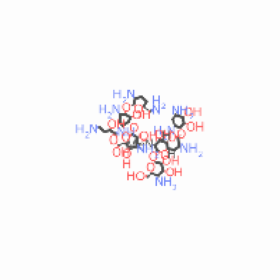 CN[C@@H]1[C@@H](O[C@H]2O[C@H](CO)[C@@H](N)[C@H](O)[C@H]2O)O[C@H]2C[C@@H](N)[C@@H](O[C@H]3[C@H](O)[C@@H](O)[C@H](N)C[C@@H]3N)O[C@@H]2[C@@H]1O.NCC[C@H](O)C(=O)N[C@@H]1C[C@H](N)[C@@H](O[C@H]2O[C@H](CN)CC[C@H]2N)[C@H](O)[C@H]1O[C@H]1O[C@H](CO)[C@@H](O)[C@H](N)[C@H]1O